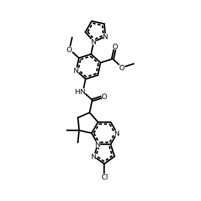 COC(=O)c1cc(NC(=O)C2CC(C)(C)c3c2cnc2cc(Cl)nn32)nc(OC)c1-n1cccn1